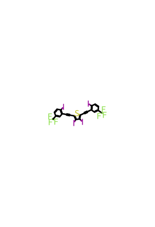 FC(F)(F)c1ccc(I)c(C#Cc2sc(C#Cc3cc(C(F)(F)F)ccc3I)c(I)c2I)c1